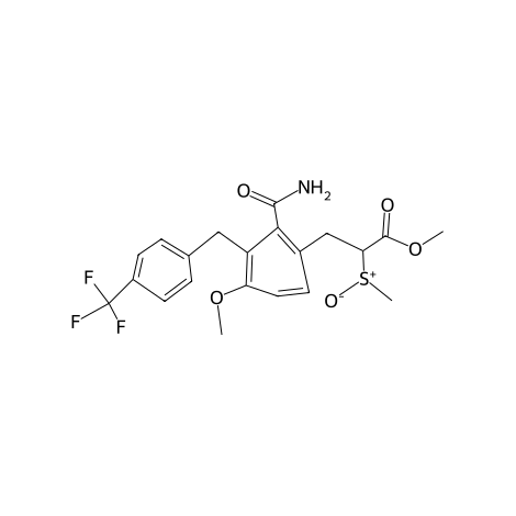 COC(=O)C(Cc1ccc(OC)c(Cc2ccc(C(F)(F)F)cc2)c1C(N)=O)[S+](C)[O-]